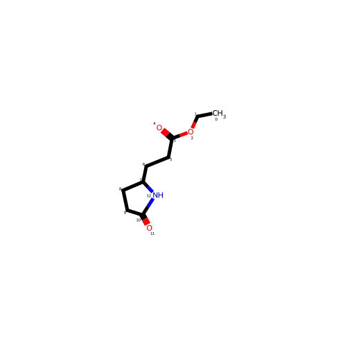 CCOC(=O)CCC1CCC(=O)N1